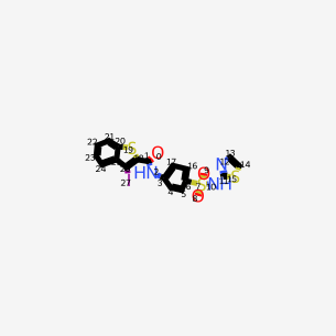 O=C(Nc1ccc(S(=O)(=O)Nc2nccs2)cc1)c1sc2ccccc2c1I